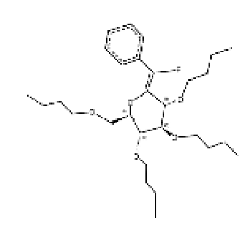 CCCCOC[C@H]1OC(=C(F)c2ccccc2)[C@H](OCCCC)[C@@H](OCCCC)[C@@H]1OCCCC